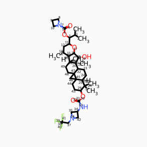 CC(C)C(OC(=O)N1CCC1)C1C[C@@H](C)[C@H]2C(O1)[C@H](O)[C@@]1(C)C3CC[C@H]4C(C)(C)C(OC(=O)NC5CN(CC(F)(F)F)C5)CCC45CC35CCC21C